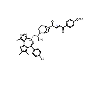 COc1ccc(C(=O)/C=C/C(=O)N2CC3CC2CCN3C(O)C[C@@H]2N=C(c3ccc(Cl)cc3)c3c(sc(C)c3C)-n3c(C)nnc32)cc1